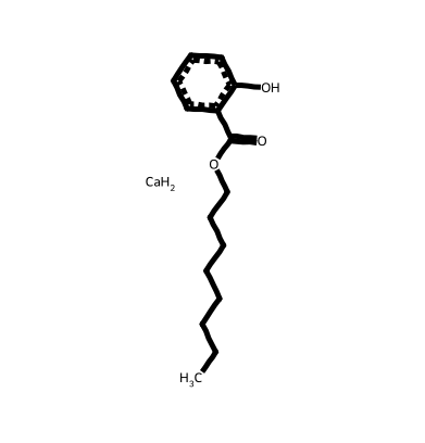 CCCCCCCCOC(=O)c1ccccc1O.[CaH2]